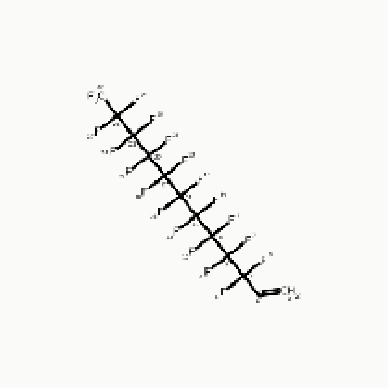 C=CC(F)(F)C(F)(F)C(F)(F)C(F)(F)C(F)(F)C(F)(F)C(F)(F)C(F)(F)C(F)(F)C(F)(F)F